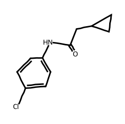 O=C(CC1CC1)Nc1ccc(Cl)cc1